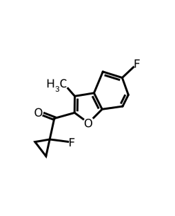 Cc1c(C(=O)C2(F)CC2)oc2ccc(F)cc12